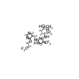 CC1(C)CC(Nc2nc(NCc3cncnc3OCCC(F)(F)F)ncc2C(F)(F)F)CC[C@@H]1O